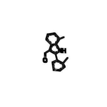 Cc1ccccc1-c1[nH]c2c(C)cccc2c1C=O